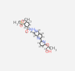 Cc1ccc(C(=O)NCc2cc3nc(-c4cccc(OC(C)CO)n4)ccc3cn2)cc1S(C)(=O)=O